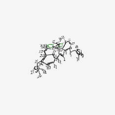 CC1=Cc2c(C[Si](C)(C)C)ccc(C)c2[CH]1[Zr]([Cl])([Cl])([CH]1C(C)=Cc2c(C[Si](C)(C)C)ccc(C)c21)=[Si](C)C